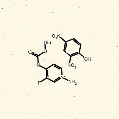 CC(C)(C)OC(=O)Nc1cc[n+](N)cc1F.O=[N+]([O-])c1ccc(O)c([N+](=O)[O-])c1